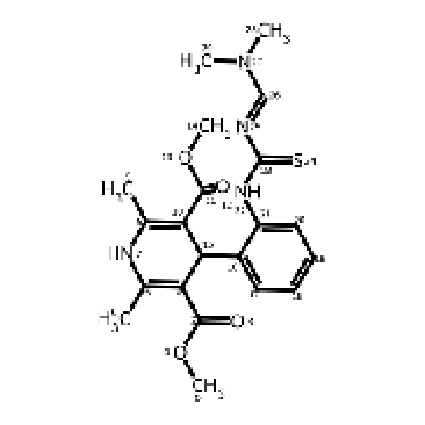 COC(=O)C1=C(C)NC(C)=C(C(=O)OC)C1c1ccccc1NC(=S)N=CN(C)C